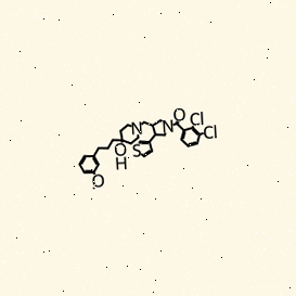 COc1cccc(CCCC2(O)CCN(CC3CN(C(=O)c4cccc(Cl)c4Cl)CC3c3ccsc3)CC2)c1